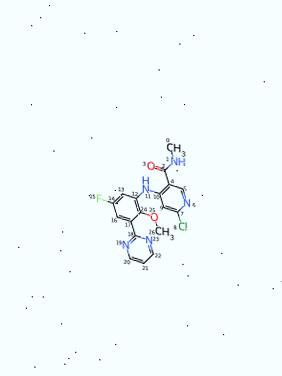 CNC(=O)c1cnc(Cl)cc1Nc1cc(F)cc(-c2ncccn2)c1OC